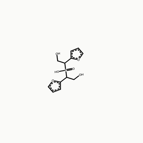 O=P(O)(C(CO)c1ccco1)C(CO)c1ccco1